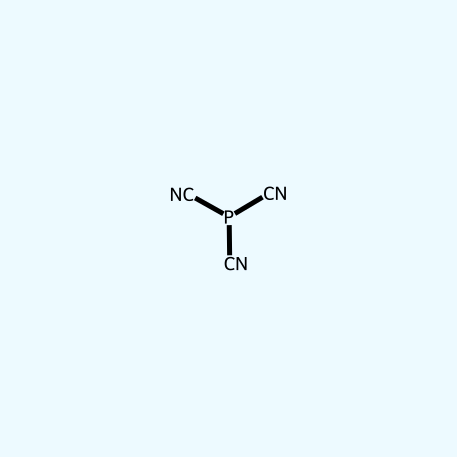 N#CP(C#N)C#N